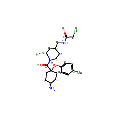 Cl.NC1CCC(Oc2ccc(Cl)cc2)(C(=O)N2CCC(CNC(=O)CCl)CC2)CC1